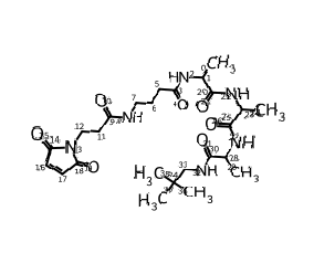 CC(NC(=O)CCCNC(=O)CCN1C(=O)C=CC1=O)C(=O)NC(C)C(=O)NC(C)C(=O)NCC(C)(C)C